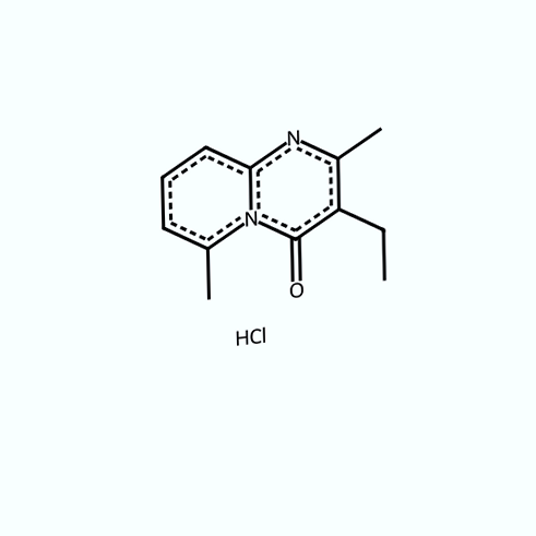 CCc1c(C)nc2cccc(C)n2c1=O.Cl